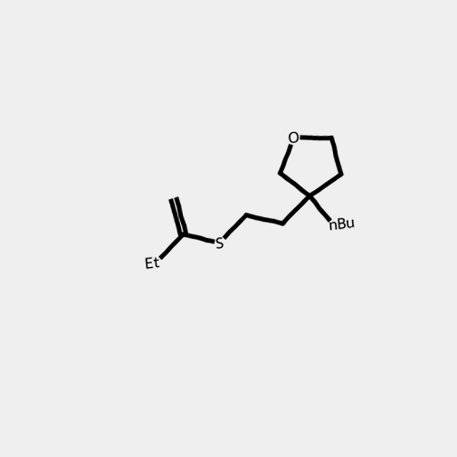 C=C(CC)SCCC1(CCCC)CCOC1